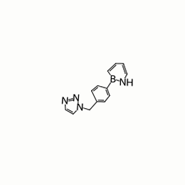 C1=CNB(c2ccc(Cn3ccnn3)cc2)C=C1